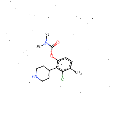 CCN(CC)C(=O)Oc1ccc(C)c(Cl)c1C1CCNCC1